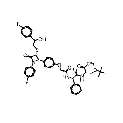 CC(C)(C)OC[C@H](NC(=O)[C@H](NC(=O)COc1ccc([C@@H]2[C@@H](SCC(O)c3ccc(F)cc3)C(=O)N2c2ccc(F)cc2)cc1)c1ccccc1)C(=O)O